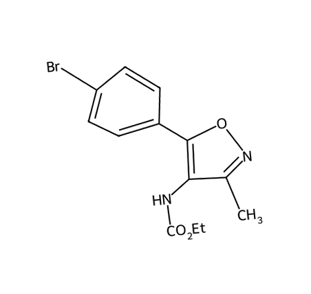 CCOC(=O)Nc1c(C)noc1-c1ccc(Br)cc1